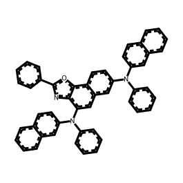 c1ccc(-c2nc3c(N(c4ccccc4)c4ccc5ccccc5c4)cc4cc(N(c5ccccc5)c5ccc6ccccc6c5)ccc4c3o2)cc1